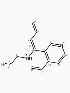 C=C/C=C(/NCC(=O)O)c1cnccc1C=C